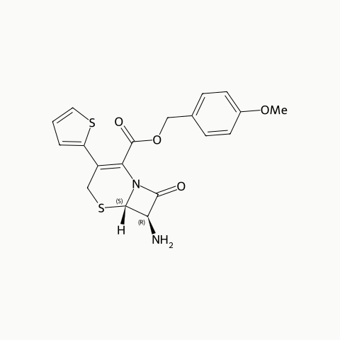 COc1ccc(COC(=O)C2=C(c3cccs3)CS[C@H]3[C@H](N)C(=O)N23)cc1